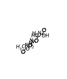 C[C@H](N)[C@H](Oc1ccc2c(cnn2-c2cccc([C@H](O)CC(N)C(O)c3ccccc3)c2)c1)c1ccccc1